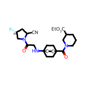 CCOC(=O)C1CCCN(C(=O)C23CCC(NCC(=O)N4C[C@H](F)CC4C#N)(CC2)CC3)C1